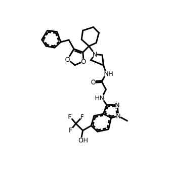 Cn1nc(NCC(=O)NC2CN(C3(C4=C(Cc5ccccc5)OCO4)CCCCC3)C2)c2cc(C(O)C(F)(F)F)ccc21